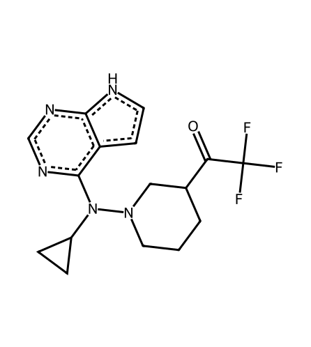 O=C(C1CCCN(N(c2ncnc3[nH]ccc23)C2CC2)C1)C(F)(F)F